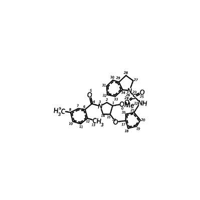 COC1CN(C(=O)c2cc(C)ccc2C)CC1Oc1cccc(NS(=O)(=O)N2CCc3ccccc32)c1